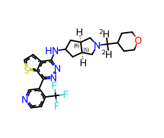 [2H]C([2H])(C1CCOCC1)N1C[C@H]2CC(Nc3nnc(-c4cnccc4C(F)(F)F)c4sccc34)C[C@H]2C1